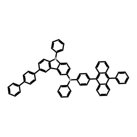 c1ccc(-c2ccc(-c3ccc4c(c3)c3cc(N(c5ccccc5)c5ccc(-c6c7ccccc7c(-c7ccccc7)c7ccccc67)cc5)ccc3n4-c3ccccc3)cc2)cc1